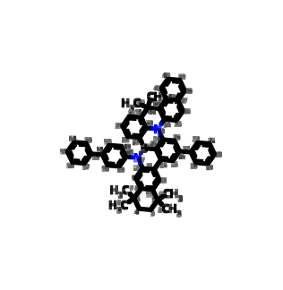 CC1(C)CCC(C)(C)c2cc3c(cc21)-c1cc(-c2ccccc2)cc2c1B(c1cccc4c1N2c1ccc2ccccc2c1C4(C)C)N3c1ccc(-c2ccccc2)cc1